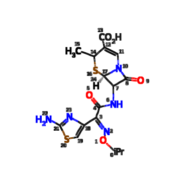 CC(C)ON=C(C(=O)NC1C(=O)N2C=C(C(=O)O)C(C)S[C@H]12)c1csc(N)n1